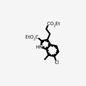 CCOC(=O)CCc1c(C(=O)OCC)[nH]c2c(C)c(Cl)ccc12